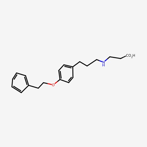 O=C(O)CCNCCCc1ccc(OCCc2ccccc2)cc1